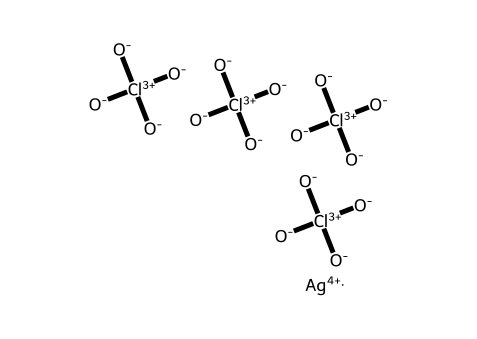 [Ag+4].[O-][Cl+3]([O-])([O-])[O-].[O-][Cl+3]([O-])([O-])[O-].[O-][Cl+3]([O-])([O-])[O-].[O-][Cl+3]([O-])([O-])[O-]